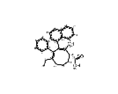 CCC1=C(c2ccccc2)C(c2cccc3ccccc23)=C(O)CCCC1.O=CO